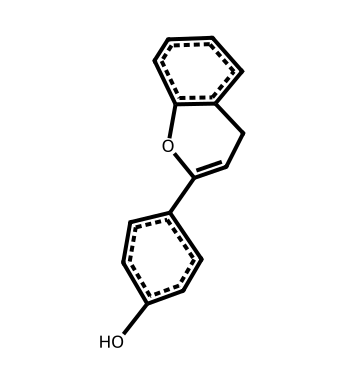 Oc1ccc(C2=CCc3ccccc3O2)cc1